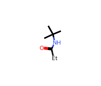 CCC(=O)NC(C)(C)C